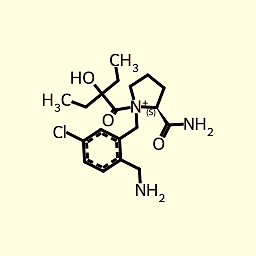 CCC(O)(CC)C(=O)[N+]1(Cc2cc(Cl)ccc2CN)CCC[C@H]1C(N)=O